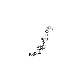 O=C(COC1CC(OC(F)(F)F)C1)NC12CC(C(=O)NNC(=O)C3CC3COC(F)(F)F)(C1)C2